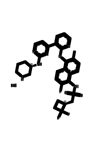 Cc1ccc2c(NS(=O)(=O)C[C@@H]3CCC3(F)F)c(F)ccc2c1Oc1ncccc1-c1ccnc(N[C@H]2CCCNC2)n1.Cl